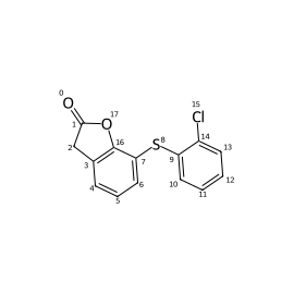 O=C1Cc2cccc(Sc3ccccc3Cl)c2O1